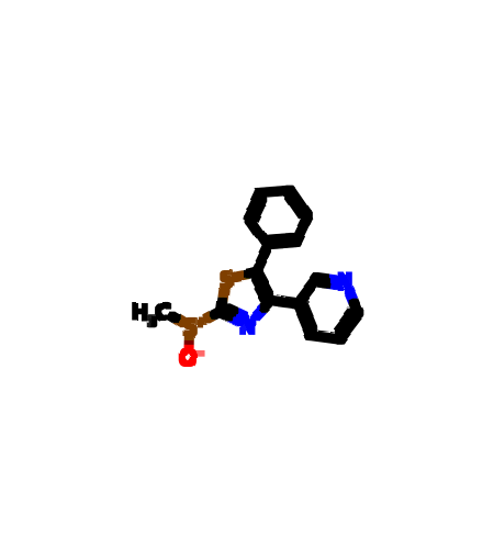 C[S+]([O-])c1nc(-c2cccnc2)c(-c2ccccc2)s1